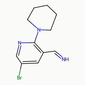 N=Cc1cc(Br)cnc1N1CCCCC1